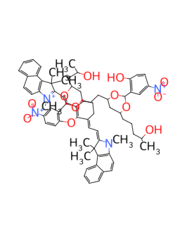 CC(O)CCCC1CC(CCC2CC(CC(C)O)OC(c3cc([N+](=O)[O-])ccc3OC3=C(/C=C/C4=[N+](C)c5ccc6ccccc6c5C4(C)C)CCC/C3=C\C=C3\N(C)c4ccc5ccccc5c4C3(C)C)O2)OC(c2cc([N+](=O)[O-])ccc2O)O1